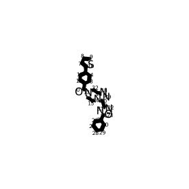 O=C(c1ccc(-c2cccs2)cc1)N1CCn2c(nnc2-c2noc(-c3ccccc3)n2)C1